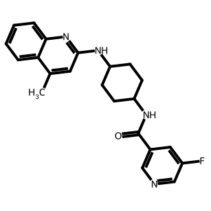 Cc1cc(NC2CCC(NC(=O)c3cncc(F)c3)CC2)nc2ccccc12